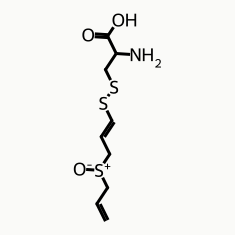 C=CC[S+]([O-])C/C=C/SSCC(N)C(=O)O